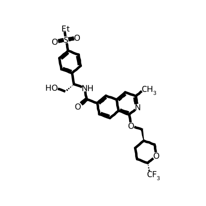 CCS(=O)(=O)c1ccc([C@@H](CO)NC(=O)c2ccc3c(OC[C@@H]4CC[C@@H](C(F)(F)F)OC4)nc(C)cc3c2)cc1